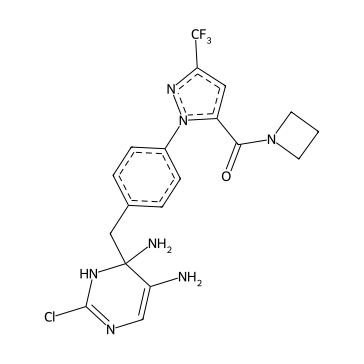 NC1=CN=C(Cl)NC1(N)Cc1ccc(-n2nc(C(F)(F)F)cc2C(=O)N2CCC2)cc1